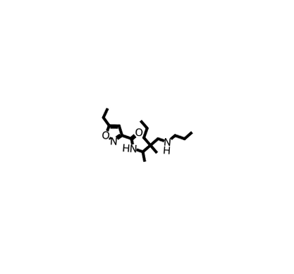 CCCNCC(C)(CCC)C(C)NC(=O)c1cc(CC)on1